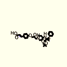 CC(C)(C)OC(=O)[C@@]1(NC2CCN(CC(O)COc3ccc(/C=C/C(=O)O)cc3)CC2)C[C@H]1c1ccccc1